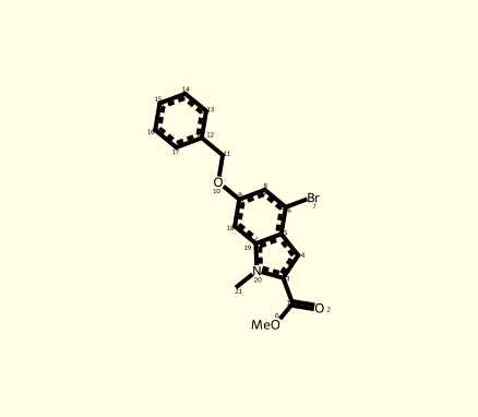 COC(=O)c1cc2c(Br)cc(OCc3ccccc3)cc2n1C